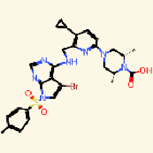 Cc1ccc(S(=O)(=O)n2cc(Br)c3c(NCc4nc(N5C[C@@H](C)N(C(=O)O)[C@@H](C)C5)ccc4C4CC4)ncnc32)cc1